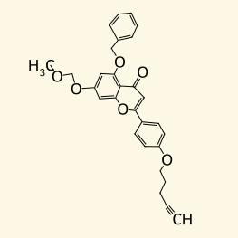 C#CCCCOc1ccc(-c2cc(=O)c3c(OCc4ccccc4)cc(OCOC)cc3o2)cc1